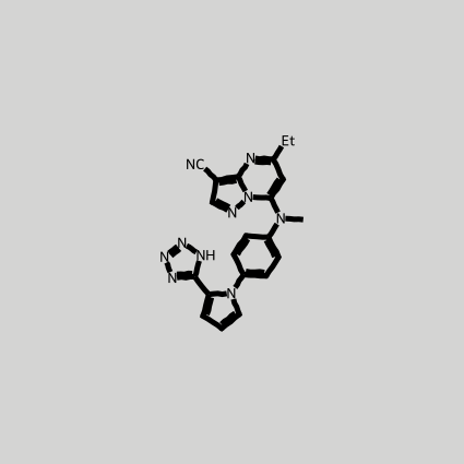 CCc1cc(N(C)c2ccc(-n3cccc3-c3nnn[nH]3)cc2)n2ncc(C#N)c2n1